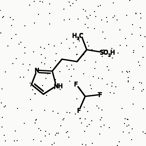 CC(CCc1ncc[nH]1)S(=O)(=O)O.FC(F)F